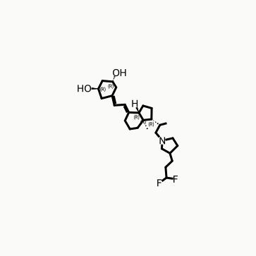 CC(CN1CCC(CCC(F)F)C1)[C@H]1CC[C@H]2C(=CC=C3C[C@@H](O)C[C@H](O)C3)CCC[C@]12C